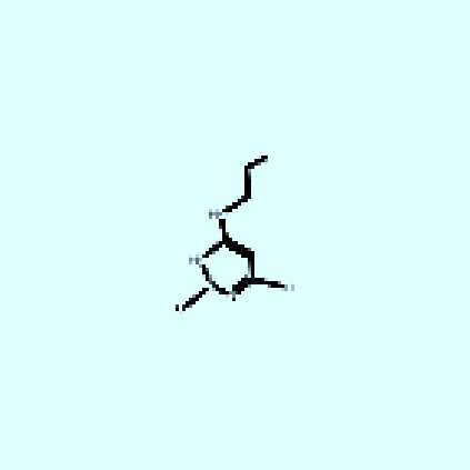 CCCNC1=CC(Cl)=NN(Cl)N1